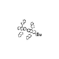 CC(C)(C)c1ccc2c(-c3ccc4ccccc4c3)c3ccccc3c(-c3ccc4ccccc4c3)c2c1.c1ccc2cc(-c3c4ccccc4c(-c4ccc5ccccc5c4)c4ccccc34)ccc2c1